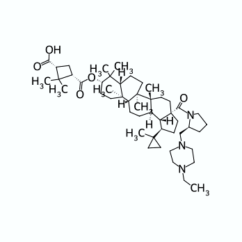 CCN1CCN(C[C@@H]2CCCN2C(=O)[C@]23CC[C@@H](C4(C)CC4)[C@@H]2[C@H]2CC[C@@H]4[C@@]5(C)CC[C@H](OC(=O)[C@H]6C[C@@H](C(=O)O)C6(C)C)C(C)(C)[C@@H]5CC[C@@]4(C)[C@]2(C)CC3)CC1